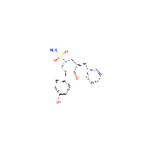 NS(=O)(=O)N1CC(=Cc2ccccn2)C(=O)C(c2ccc(O)cc2)C1